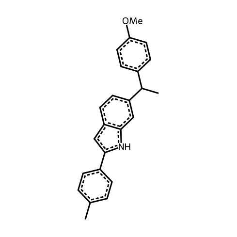 COc1ccc(C(C)c2ccc3cc(-c4ccc(C)cc4)[nH]c3c2)cc1